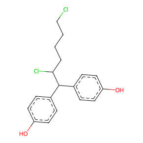 Oc1ccc(C(c2ccc(O)cc2)C(Cl)CCCCCl)cc1